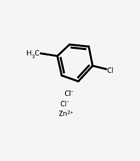 Cc1ccc(Cl)cc1.[Cl-].[Cl-].[Zn+2]